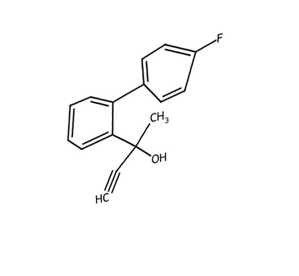 C#CC(C)(O)c1ccccc1-c1ccc(F)cc1